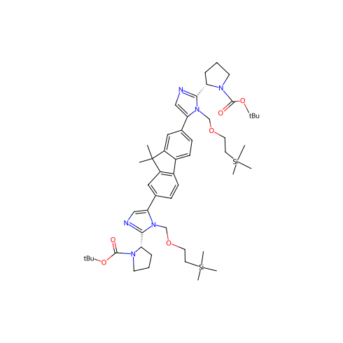 CC(C)(C)OC(=O)N1CCC[C@H]1c1ncc(-c2ccc3c(c2)C(C)(C)c2cc(-c4cnc([C@@H]5CCCN5C(=O)OC(C)(C)C)n4COCC[Si](C)(C)C)ccc2-3)n1COCC[Si](C)(C)C